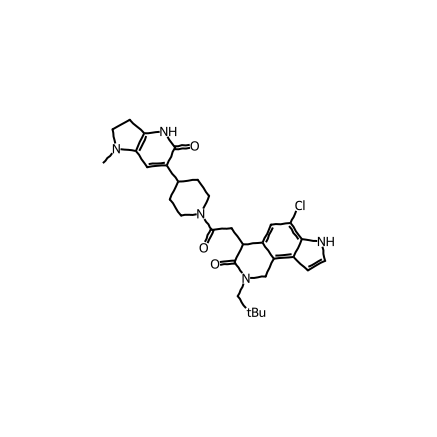 CN1CCc2[nH]c(=O)c(C3CCN(C(=O)CC4C(=O)N(CC(C)(C)C)Cc5c4cc(Cl)c4[nH]ccc54)CC3)cc21